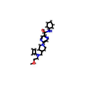 COCCN(CC1CCN(c2cnc(C(=O)NC3CCCCC3)cn2)CC1)C1CCC1